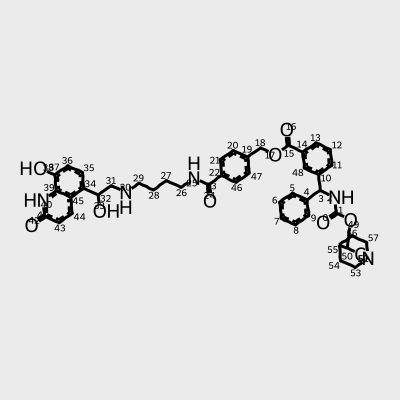 O=C(NC(c1ccccc1)c1cccc(C(=O)OCc2ccc(C(=O)NCCCCNCC(O)c3ccc(O)c4[nH]c(=O)ccc34)cc2)c1)OC1CN2CCC1CC2